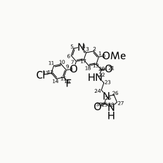 COc1cc2nccc(Oc3ccc(Cl)cc3F)c2cc1C(=O)NCCN1CCNC1=O